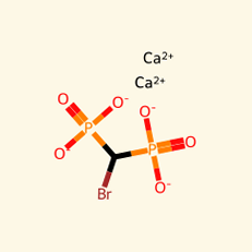 O=P([O-])([O-])C(Br)P(=O)([O-])[O-].[Ca+2].[Ca+2]